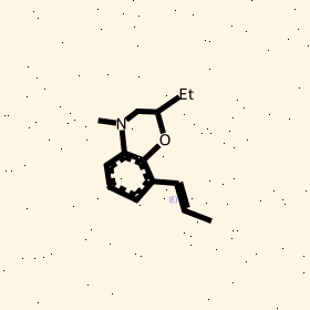 C/C=C/c1cccc2c1OC(CC)CN2C